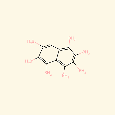 Bc1cc2c(B)c(B)c(B)c(B)c2c(B)c1B